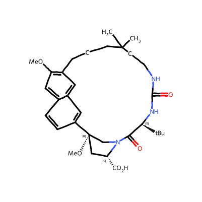 COc1cc2ccc3cc2cc1CCCC(C)(C)CCNC(=O)N[C@@H](C(C)(C)C)C(=O)N1C[C@@]3(OC)C[C@H]1C(=O)O